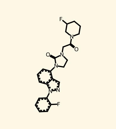 O=C(CN1CCN(c2cccc3c2cnn3-c2ccccc2F)C1=O)N1CCCC(F)C1